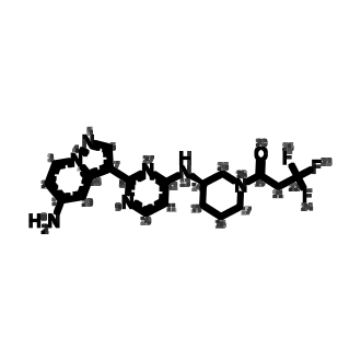 Nc1ccn2ncc(-c3nccc(N[C@@H]4CCCN(C(=O)CC(F)(F)F)C4)n3)c2c1